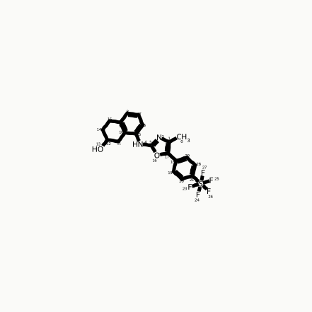 Cc1nc(Nc2cccc3c2CC(O)CC3)oc1-c1ccc(S(F)(F)(F)(F)F)cc1